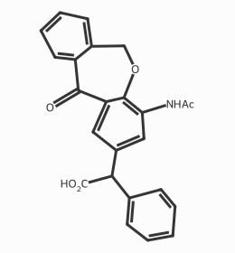 CC(=O)Nc1cc(C(C(=O)O)c2ccccc2)cc2c1OCc1ccccc1C2=O